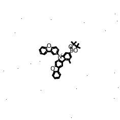 Cc1cc(B2OC(C)(C)C(C)(C)O2)cc2c1c1cc3c(cc1n2-c1ccc2oc4ccccc4c2c1)oc1ccccc13